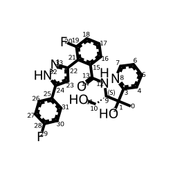 CC(O)(c1ccccn1)[C@H](CO)NC(=O)c1cccc(F)c1-c1cc(-c2ccc(F)cc2)[nH]n1